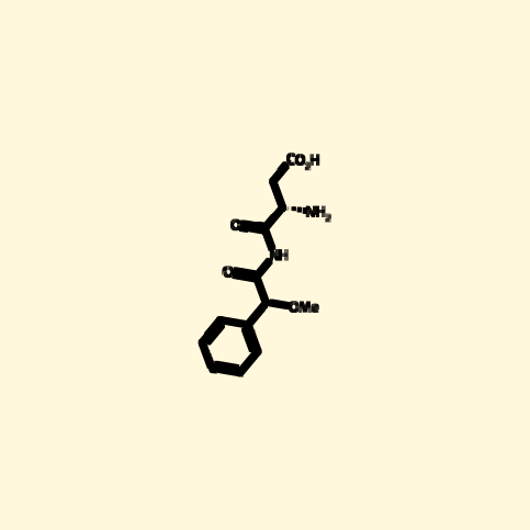 COC(C(=O)NC(=O)[C@@H](N)CC(=O)O)c1ccccc1